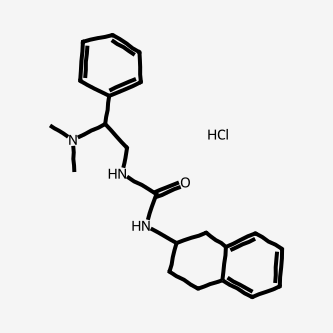 CN(C)C(CNC(=O)NC1CCc2ccccc2C1)c1ccccc1.Cl